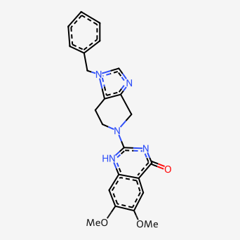 COc1cc2[nH]c(N3CCc4c(ncn4Cc4ccccc4)C3)nc(=O)c2cc1OC